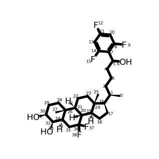 C[C@H](CCCC(O)c1c(F)cc(F)cc1F)[C@H]1CC[C@H]2[C@H]3[C@H](CC[C@]12C)[C@@]1(C)CC[C@H](O)[C@H](O)[C@@H]1CC3(F)F